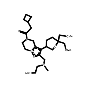 CNCCN(C)Cc1nn2c(c1C1CCC(COC)(COC)CC1)CN(C(=O)CC1CCC1)CC2